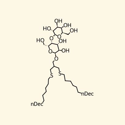 CCCCCCCCCCCCCCCCSCC(CO[C@H]1O[C@H](CO)[C@H](O[C@@H]2O[C@H](CO)[C@H](O)[C@H](O)[C@H]2O)[C@H](O)[C@H]1O)CSCCCCCCCCCCCCCCCC